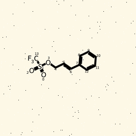 O=S(=O)(OCC=Cc1ccccc1)C(F)(F)F